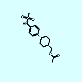 CC(=O)OC[C@H]1CC[C@H](c2ccc(NS(C)(=O)=O)cc2)CC1